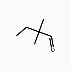 [CH2]C(C)(C=O)CC